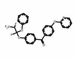 O=C(c1ccc(Oc2ccccn2)cc1)c1ccc(OC(F)(Oc2ccccc2)C(F)C(F)(F)F)cc1